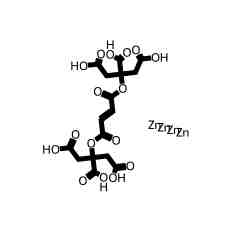 O=C(O)CC(CC(=O)O)(OC(=O)/C=C/C(=O)OC(CC(=O)O)(CC(=O)O)C(=O)O)C(=O)O.[Zn].[Zn].[Zn].[Zn]